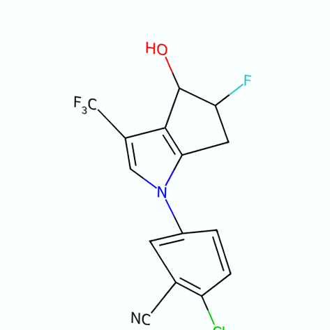 N#Cc1cc(-n2cc(C(F)(F)F)c3c2CC(F)C3O)ccc1Cl